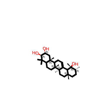 C[C@@H]1CC[C@]2(C)CC[C@]3(C)C(=CCC4[C@@]5(C)C[C@@H](O)[C@H](O)C(C)(C)C5CC[C@]43C)C2[C@]1(C)O